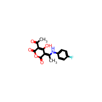 CC(=O)C1=C(O)C(=C(C)Nc2ccc(F)cc2)C(=O)OC1=O